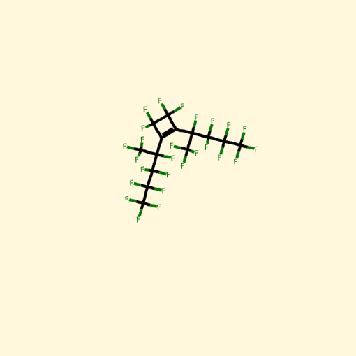 FC(F)(F)C(F)(F)C(F)(F)C(F)(C1=C(C(F)(C(F)(F)F)C(F)(F)C(F)(F)C(F)(F)F)C(F)(F)C1(F)F)C(F)(F)F